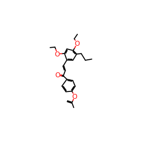 C=C(C)Oc1ccc(C(=O)/C=C/c2cc(CCC)c(OCC)cc2OCC)cc1